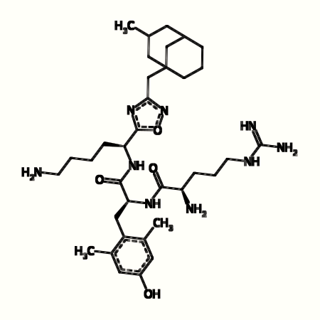 Cc1cc(O)cc(C)c1C[C@H](NC(=O)[C@H](N)CCCNC(=N)N)C(=O)N[C@@H](CCCCN)c1nc(CC23CCCC(CC(C)C2)C3)no1